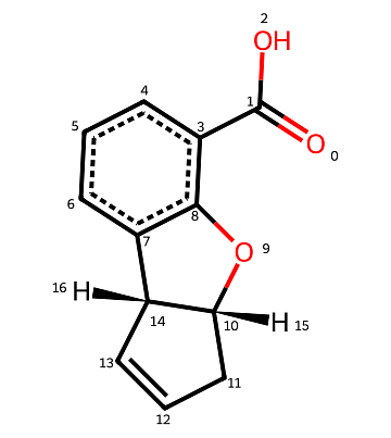 O=C(O)c1cccc2c1O[C@@H]1CC=C[C@H]21